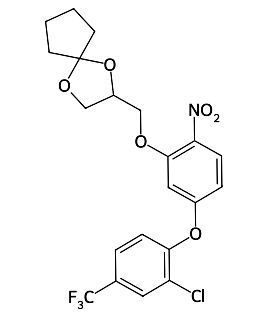 O=[N+]([O-])c1ccc(Oc2ccc(C(F)(F)F)cc2Cl)cc1OCC1COC2(CCCC2)O1